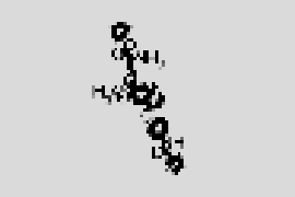 COc1cc2c(Oc3ccc(NC(=O)C4CC=CS4)cc3)ccnc2cc1OCC[C@H](N)C(=O)OC1CCCC1